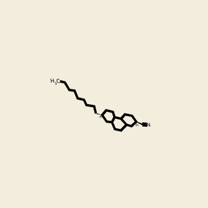 CCCCCCCCC[C@@H]1CCC2C(CCC3C[C@H](C#N)CCC32)C1